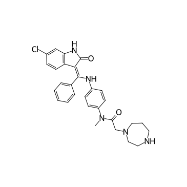 CN(C(=O)CN1CCCNCC1)c1ccc(N/C(=C2\C(=O)Nc3cc(Cl)ccc32)c2ccccc2)cc1